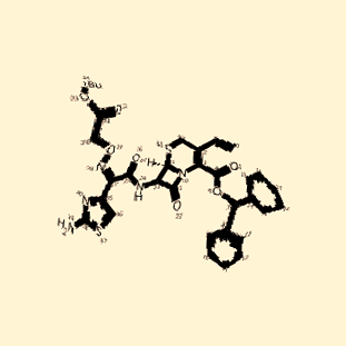 C=CC1=C(C(=O)OC(c2ccccc2)c2ccccc2)N2C(=O)C(NC(=O)/C(=N\OCC(=O)OC(C)(C)C)c3csc(N)n3)[C@H]2SC1